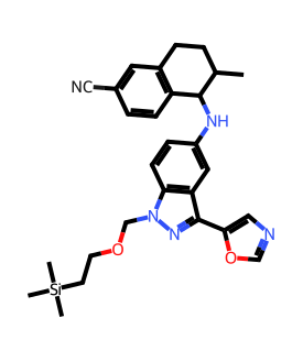 CC1CCc2cc(C#N)ccc2C1Nc1ccc2c(c1)c(-c1cnco1)nn2COCC[Si](C)(C)C